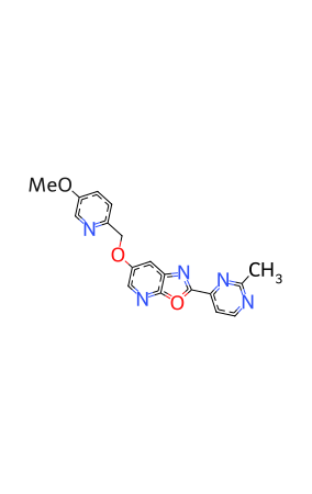 COc1ccc(COc2cnc3oc(-c4ccnc(C)n4)nc3c2)nc1